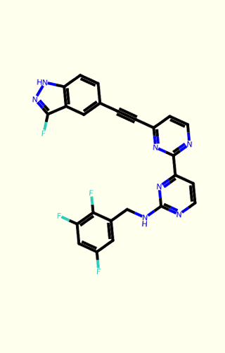 Fc1cc(F)c(F)c(CNc2nccc(-c3nccc(C#Cc4ccc5[nH]nc(F)c5c4)n3)n2)c1